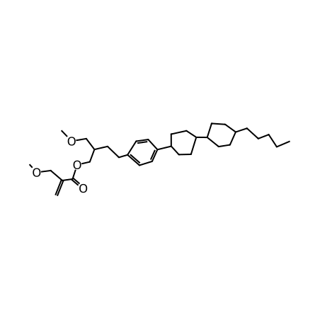 C=C(COC)C(=O)OCC(CCc1ccc(C2CCC(C3CCC(CCCCC)CC3)CC2)cc1)COC